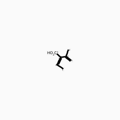 C=C(C)/C(=C\C)C(=O)O